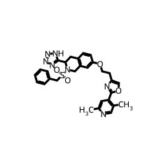 Cc1cc(-c2nc(CCOc3ccc4c(c3)CN(S(=O)(=O)Cc3ccccc3)C(c3nnn[nH]3)C4)co2)c(C)cn1